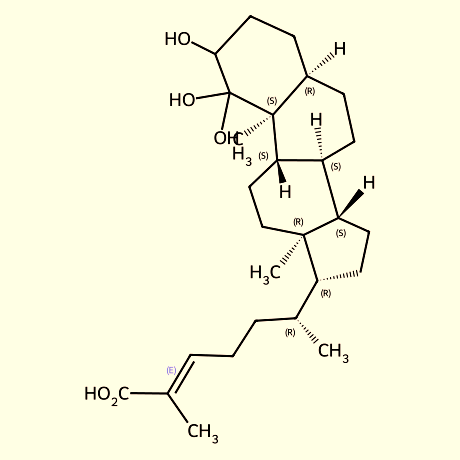 C/C(=C\CC[C@@H](C)[C@H]1CC[C@H]2[C@@H]3CC[C@@H]4CCC(O)C(O)(O)[C@]4(C)[C@H]3CC[C@]12C)C(=O)O